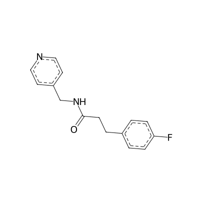 O=C(CCc1ccc(F)cc1)NCc1ccncc1